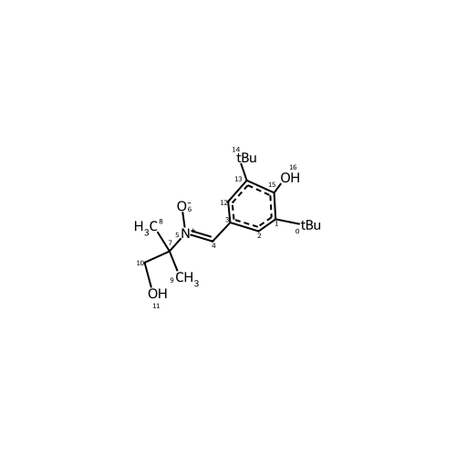 CC(C)(C)c1cc(C=[N+]([O-])C(C)(C)CO)cc(C(C)(C)C)c1O